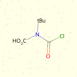 CC(C)(C)N(C(=O)O)C(=O)Cl